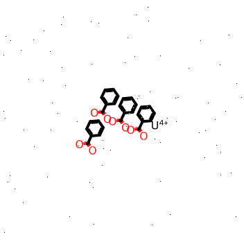 O=C([O-])c1ccccc1.O=C([O-])c1ccccc1.O=C([O-])c1ccccc1.O=C([O-])c1ccccc1.[U+4]